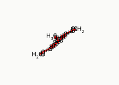 C=CC(=O)OCCCCCCOc1ccc2cc(C(=O)Oc3ccc(OC(=O)c4ccc5cc(OCCCCCCOC(=O)C=C)ccc5c4)c(-c4ccc(C)cc4)c3)ccc2c1